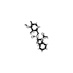 COc1c(C)cnc(C[S@+]([O-])c2nc3ccccc3n2C(C)=O)c1C